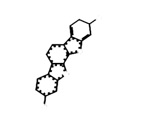 Clc1ccc2c(c1)oc1c2ccc2c3c(oc21)=CC(Cl)CC=3